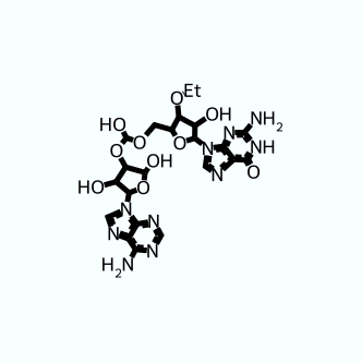 CCOC1C(COC(O)OC2C(O)OC(n3cnc4c(N)ncnc43)C2O)OC(n2cnc3c(=O)[nH]c(N)nc32)C1O